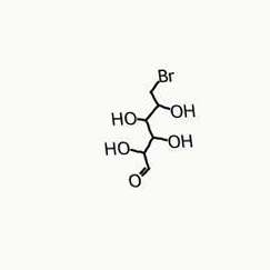 O=CC(O)C(O)C(O)C(O)CBr